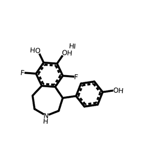 I.Oc1ccc(C2CNCCc3c(F)c(O)c(O)c(F)c32)cc1